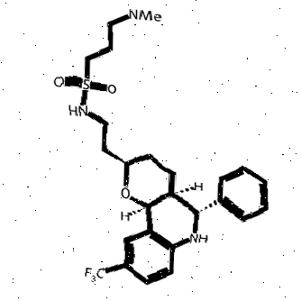 CNCCCS(=O)(=O)NCC[C@H]1CC[C@@H]2[C@H](O1)c1cc(C(F)(F)F)ccc1N[C@H]2c1ccccc1